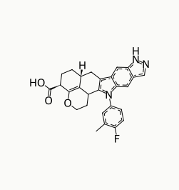 Cc1cc(-n2c3c(c4cc5[nH]ncc5cc42)C[C@H]2CC[C@H](C(=O)O)C4=C2C3CCO4)ccc1F